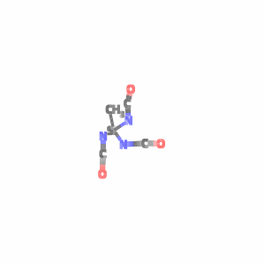 C[Si](N=C=O)(N=C=O)N=C=O